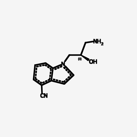 N#Cc1cccc2c1ccn2C[C@H](O)CN